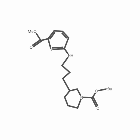 COC(=O)c1cccc(NCCCC2CCCN(C(=O)OC(C)(C)C)C2)n1